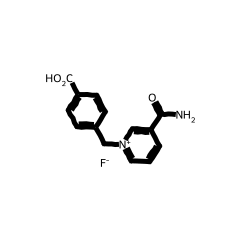 NC(=O)c1ccc[n+](Cc2ccc(C(=O)O)cc2)c1.[F-]